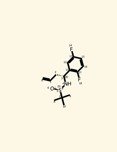 C=CC[C@@H](N[S@+]([O-])C(C)(C)C)c1cc(F)ccc1F